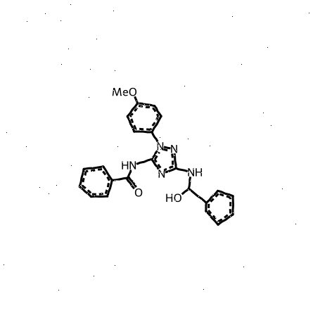 COc1ccc(-n2nc(NC(O)c3ccccc3)nc2NC(=O)c2ccccc2)cc1